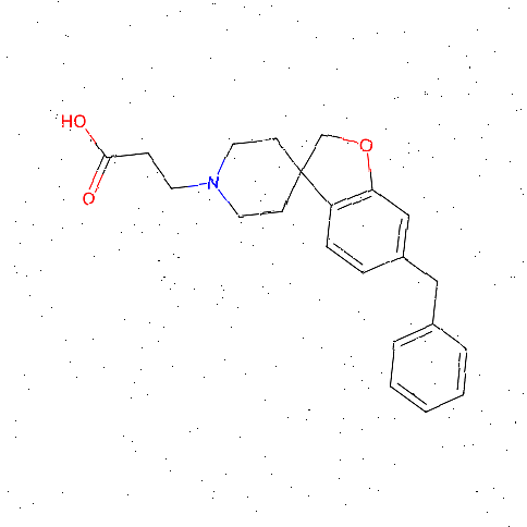 O=C(O)CCN1CCC2(CC1)COc1cc(Cc3ccccc3)ccc12